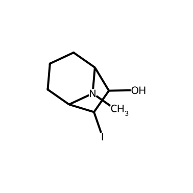 CN1C2CCCC1C(I)C2O